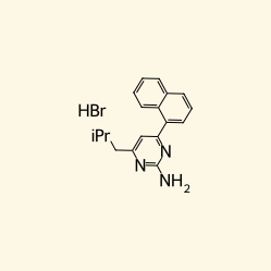 Br.CC(C)Cc1cc(-c2cccc3ccccc23)nc(N)n1